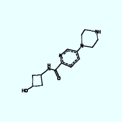 O=C(NC1CC(O)C1)c1ccc(N2CCNCC2)cn1